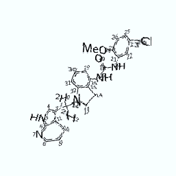 [2H]C([2H])(c1c[nH]c2ncccc12)N1CCc2c(NC(=O)Nc3cc(Cl)ccc3OC)cccc21